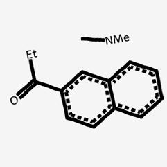 CCC(=O)c1ccc2ccccc2c1.CNC